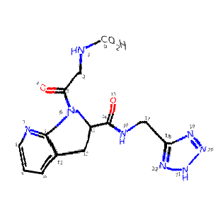 O=C(O)NCC(=O)N1c2ncccc2CC1C(=O)NCc1nn[nH]n1